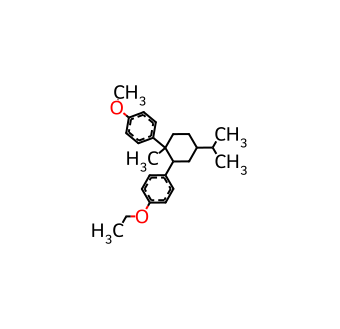 CCOc1ccc(C2CC(C(C)C)CCC2(C)c2ccc(OC)cc2)cc1